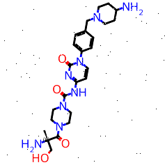 C[C@](N)(CO)C(=O)N1CCN(C(=O)Nc2ccn(-c3ccc(CN4CCC(N)CC4)cc3)c(=O)n2)CC1